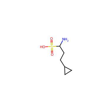 NC(CCC1CC1)S(=O)(=O)O